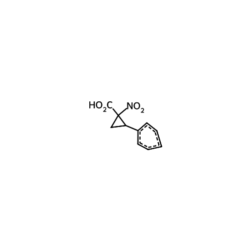 O=C(O)C1([N+](=O)[O-])CC1c1ccccc1